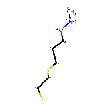 CNOCCCSCCS